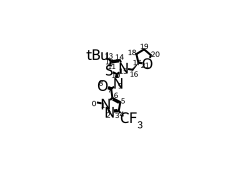 Cn1nc(C(F)(F)F)cc1C(=O)N=c1sc(C(C)(C)C)cn1C[C@H]1CCCO1